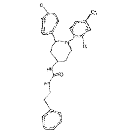 O=C(NCCc1ccccc1)NC1CCN(c2ccc(Cl)cc2Cl)C(c2ccc(Cl)cc2)C1